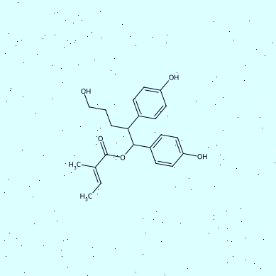 CC=C(C)C(=O)OC(c1ccc(O)cc1)C(CCCO)c1ccc(O)cc1